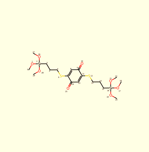 CO[Si](CCCSC1=CC(=O)C(SCCC[Si](OC)(OC)OC)=CC1=O)(OC)OC